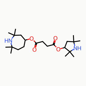 CC1(C)CCC(OC(=O)CCC(=O)OC2CC(C)(C)NC2(C)C)CC(C)(C)N1